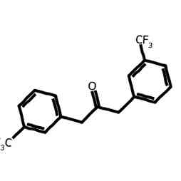 O=C(Cc1cccc(C(F)(F)F)c1)Cc1cccc(C(F)(F)F)c1